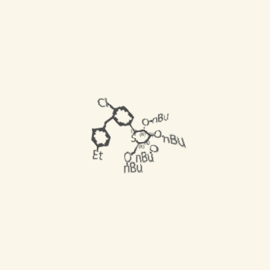 CCCCOC[C@H]1S[C@@H](c2ccc(Cl)c(Cc3ccc(CC)cc3)c2)[C@H](OCCCC)[C@@H](OCCCC)[C@@H]1OCCCC